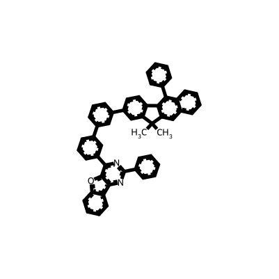 CC1(C)c2cc(-c3cccc(-c4cccc(-c5nc(-c6ccccc6)nc6c5oc5ccccc56)c4)c3)ccc2-c2c1cc1ccccc1c2-c1ccccc1